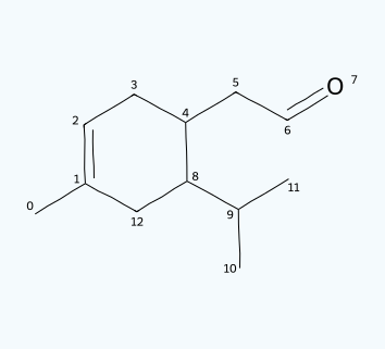 CC1=CCC(CC=O)C(C(C)C)C1